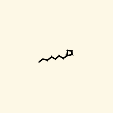 CCCCCCCC1[CH]CC1